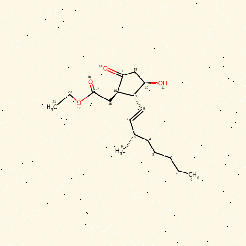 CCCCC[C@H](C)/C=C/[C@H]1[C@H](O)CC(=O)[C@@H]1CC(=O)OCC